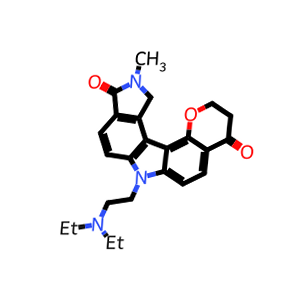 CCN(CC)CCn1c2ccc3c(c2c2c4c(ccc21)C(=O)CCO4)CN(C)C3=O